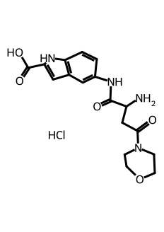 Cl.NC(CC(=O)N1CCOCC1)C(=O)Nc1ccc2[nH]c(C(=O)O)cc2c1